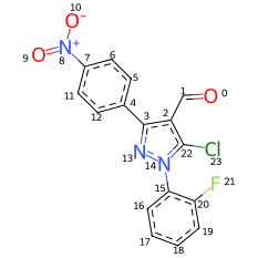 O=Cc1c(-c2ccc([N+](=O)[O-])cc2)nn(-c2ccccc2F)c1Cl